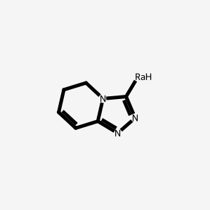 [RaH][c]1nnc2n1CCC=C2